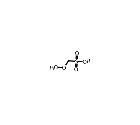 O=S(=O)(O)COO